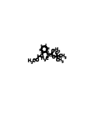 COCOc1ccccc1N(C)C(=O)OC(C)(C)C